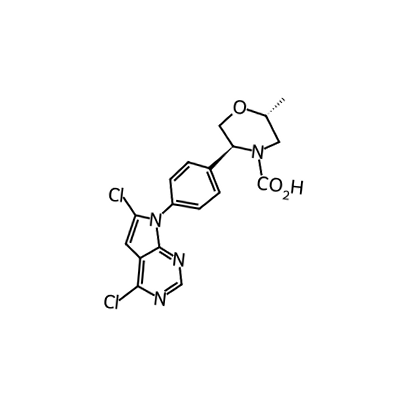 C[C@@H]1CN(C(=O)O)[C@@H](c2ccc(-n3c(Cl)cc4c(Cl)ncnc43)cc2)CO1